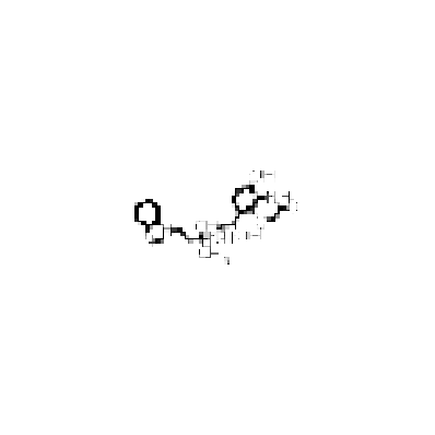 CC(C)(CCn1cnc2ccccc21)NCC(O)c1ccc(O)c2c1OCC(=O)N2